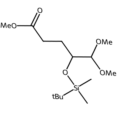 COC(=O)CCC(O[Si](C)(C)C(C)(C)C)C(OC)OC